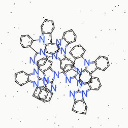 c1ccc(-n2c3ccccc3c3ccccc32)c(-c2nc(-n3c4ccccc4n4c5ccccc5nc34)cc(-n3c4ccc(-c5cccc6c7ccccc7n(-c7ccccc7-c7cc(-n8c9ccccc9n9c%10ccccc%10nc89)nc(-n8c9ccccc9n9c%10ccccc%10nc89)n7)c56)cc4n4c5ccccc5nc34)n2)c1